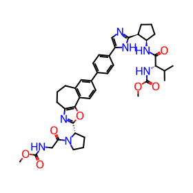 COC(=O)NCC(=O)N1CCC[C@H]1c1nc2c(o1)-c1ccc(-c3ccc(-c4cnc([C@H]5CCC[C@H]5NC(=O)[C@@H](NC(=O)OC)C(C)C)[nH]4)cc3)cc1CCC2